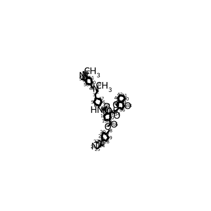 CN(CCc1ccc(NC(=O)c2ccc(C(=O)OCc3ccc(-n4ccnc4)cc3)cc2NC(=O)c2cc(=O)c3ccccc3o2)cc1)Cc1ccc2c(cnn2C)c1